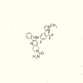 Cn1ccc(-c2cc(Nc3cc4c(nc3-c3ccccc3)CCN(C(N)=O)C4)c(F)cc2C(F)(F)F)n1